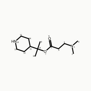 CN(C)CCC(=O)OC(C)(C)C1CCNCC1